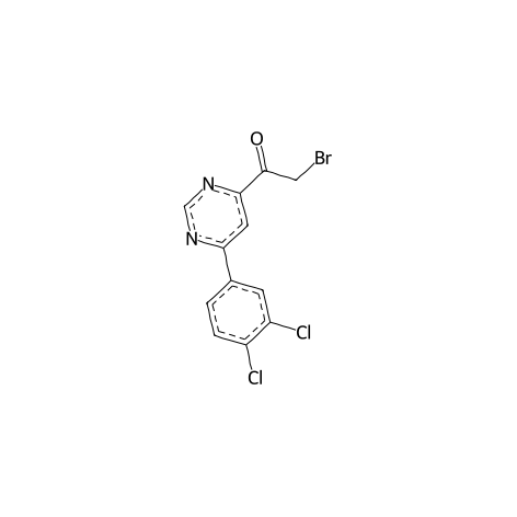 O=C(CBr)c1cc(-c2ccc(Cl)c(Cl)c2)ncn1